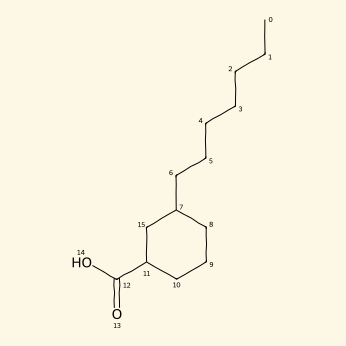 CCCCCCCC1CCCC(C(=O)O)C1